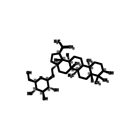 C=C(C)[C@@H]1CC[C@]2(CO[C@@H]3O[C@H](CO)[C@@H](O)[C@H](O)[C@H]3O)CC[C@]3(C)[C@H](CCC4[C@@]5(C)CC[C@@H](O)C(C)(C)[C@@H]5CC[C@]43C)[C@@H]12